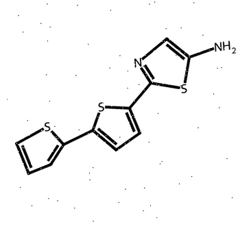 Nc1cnc(-c2ccc(-c3cccs3)s2)s1